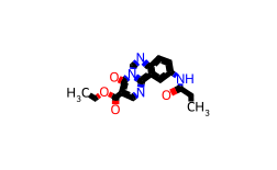 CCOC(=O)c1cnc2c3cc(NC(=O)CC)ccc3ncn2c1=O